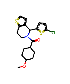 COC1CCC(C(=O)N2CCc3sccc3C2c2ccc(Cl)s2)CC1